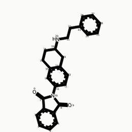 O=C1c2ccccc2C(=O)N1c1ccc2c(c1)CCC(NCCc1ccccc1)C2